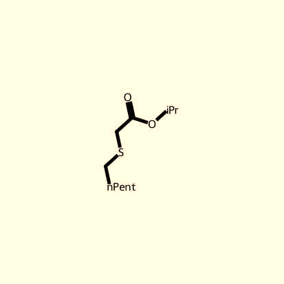 CCCCCCSCC(=O)OC(C)C